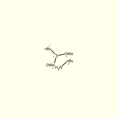 CCCCN.CCC[CH2][Ti]([O]C)[O]C